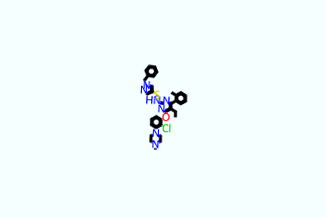 CCc1c(Oc2cccc(N3CCN(C)CC3)c2Cl)nc(NSc2cnn(Cc3ccccc3)c2)nc1-c1ccccc1C